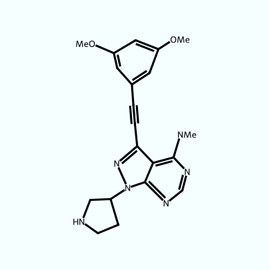 CNc1ncnc2c1c(C#Cc1cc(OC)cc(OC)c1)nn2C1CCNC1